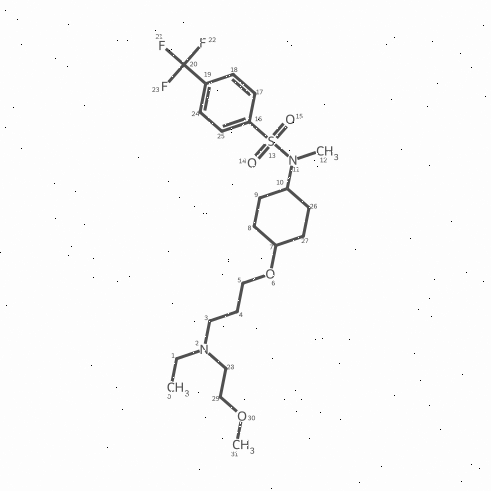 CCN(CCCOC1CCC(N(C)S(=O)(=O)c2ccc(C(F)(F)F)cc2)CC1)CCOC